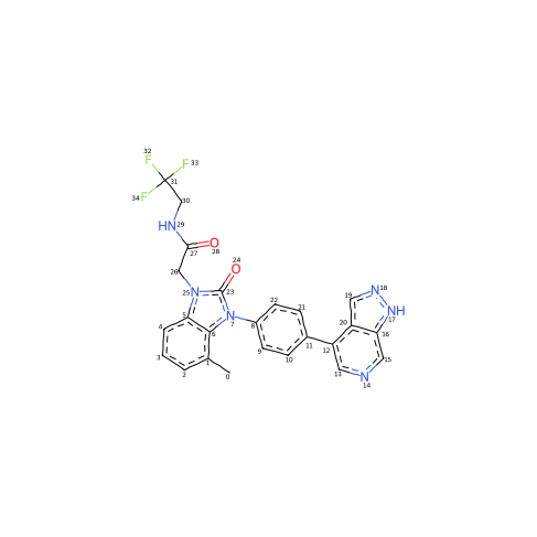 Cc1cccc2c1n(-c1ccc(-c3cncc4[nH]ncc34)cc1)c(=O)n2CC(=O)NCC(F)(F)F